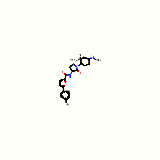 CC(C)c1ccc(-c2ccc(C(=O)N[C@H]3CCN(C4CCC(NC(C)(C)C)CC4(C)C(=O)O)C3=O)o2)cc1